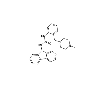 CN1CCN(Cc2ccccc2NC(=O)NC2c3ccccc3-c3ccccc32)CC1